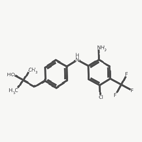 CC(C)(O)Cc1ccc(Nc2cc(Cl)c(C(F)(F)F)cc2N)cc1